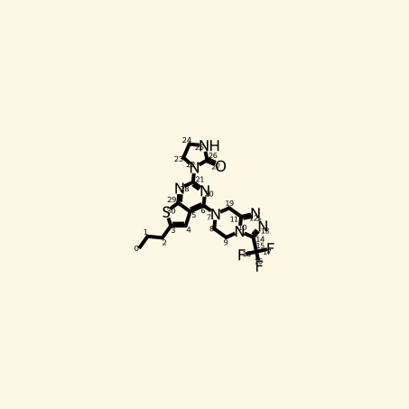 CCCc1cc2c(N3CCn4c(nnc4C(F)(F)F)C3)nc(N3CCNC3=O)nc2s1